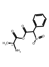 C[C@H](N)C(=O)OC(=O)C(c1ccccc1)[N+](=O)[O-]